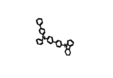 c1ccc(-c2ccc(N(c3ccccc3)c3ccc(-c4ccc(-n5c6c(c7ccccc75)CCCC6)cc4)cc3)cc2)cc1